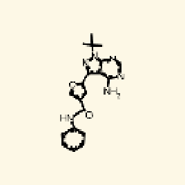 CC(C)(C)n1nc(-c2cc(C(=O)Nc3ccccc3)co2)c2c(N)ncnc21